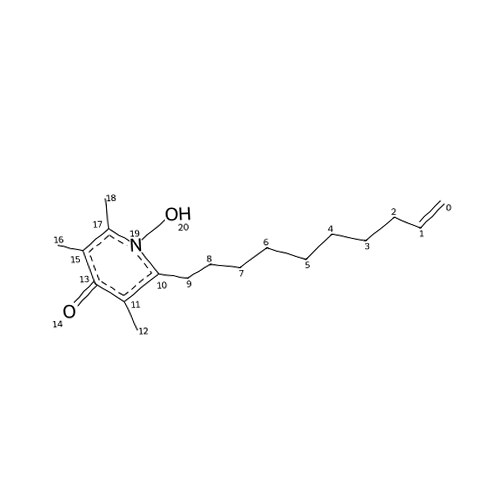 C=CCCCCCCCCc1c(C)c(=O)c(C)c(C)n1O